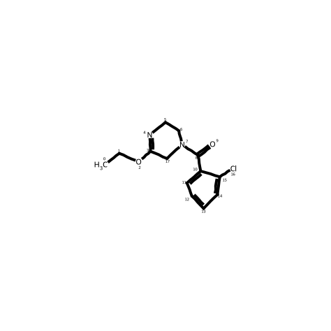 CCOC1=NCCN(C(=O)c2ccccc2Cl)C1